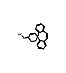 ON=C1C=CC2(CC1)c1ccccc1C=Cc1ccccc12